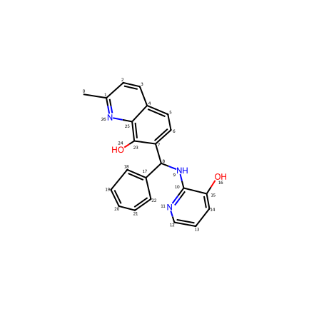 Cc1ccc2ccc(C(Nc3ncccc3O)c3ccccc3)c(O)c2n1